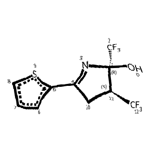 O[C@]1(C(F)(F)F)N=C(c2cccs2)C[C@@H]1C(F)(F)F